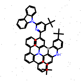 CC(C)(C)c1cc(-c2ccc3c(c2)B2c4cc(C(C)(C)C)ccc4Nc4cc(C(C)(C)C)cc(c42)N3c2c(-c3ccccc3)cccc2-c2ccccc2)nc(-n2c3ccccc3c3ccccc32)c1